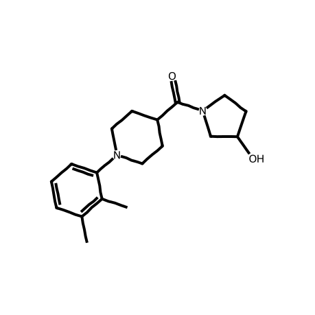 Cc1cccc(N2CCC(C(=O)N3CCC(O)C3)CC2)c1C